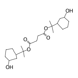 CC(C)(OC(=O)CCC(=O)OC(C)(C)C1CCCC(O)C1)C1CCCC(O)C1